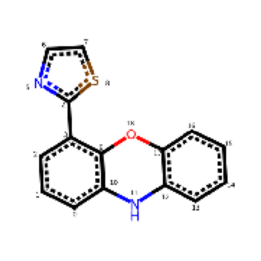 [c]1ccc(-c2nccs2)c2c1Nc1ccccc1O2